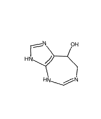 OC1CN=CNc2[nH]cnc21